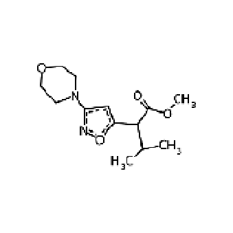 COC(=O)C(c1cc(N2CCOCC2)no1)C(C)C